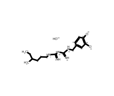 CCC(C)CCCNC(=N)NC(=N)NCc1ccc(Cl)c(Cl)c1.Cl